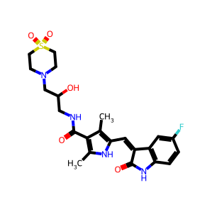 Cc1[nH]c(C=C2C(=O)Nc3ccc(F)cc32)c(C)c1C(=O)NCC(O)CN1CCS(=O)(=O)CC1